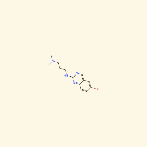 CN(C)CCCNc1ncc2cc(Br)ccc2n1